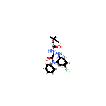 CC(C)(C)OC(=O)NCC(=O)N(c1ccccc1)c1cc(Cl)ccc1N